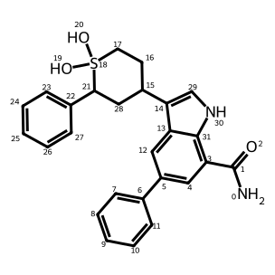 NC(=O)c1cc(-c2ccccc2)cc2c(C3CCS(O)(O)C(c4ccccc4)C3)c[nH]c12